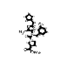 COC(=O)C1CCN(C(=O)N(Cc2cccc(C#N)c2)c2sc(CC3CCCC3)nc2C)C1